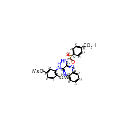 COc1ccc(OC)c(Nc2nc3ccccc3nc2NS(=O)(=O)c2ccc(C(=O)O)cc2)c1